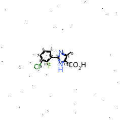 Cc1nc(-c2cccc(Cl)c2F)[nH]c1C(=O)O